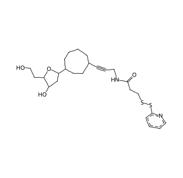 O=C(CCSSc1ccccn1)NCC#CC1CCCCC(C2CC(O)C(CCO)O2)CC1